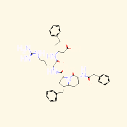 N=C(N)NCCC[C@H](NC(=O)[C@@H]1C[C@H](Cc2ccccc2)[C@@H]2CC[C@H](NC(=O)Cc3ccccc3)C(=O)N12)C(=O)N[C@H](CCc1ccccc1)CC(=O)O